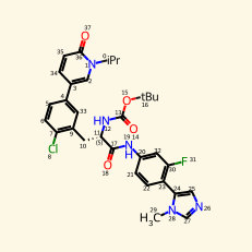 CC(C)n1cc(-c2ccc(Cl)c(C[C@H](NC(=O)OC(C)(C)C)C(=O)Nc3ccc(-c4cncn4C)c(F)c3)c2)ccc1=O